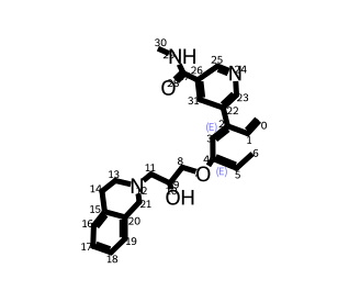 C=C/C(=C\C(=C/C)OCC(O)CN1CCc2ccccc2C1)c1cncc(C(=O)NC)c1